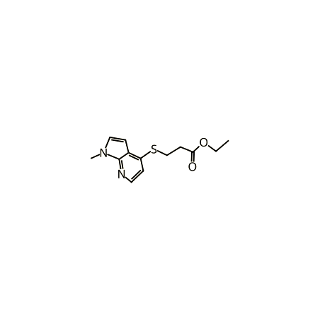 CCOC(=O)CCSc1ccnc2c1ccn2C